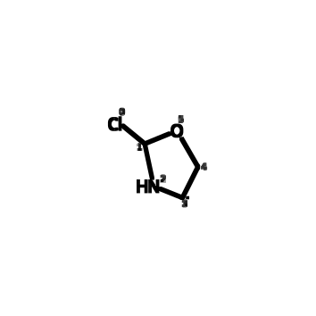 ClC1N[CH]CO1